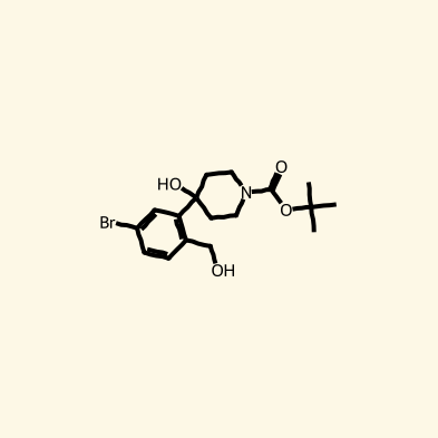 CC(C)(C)OC(=O)N1CCC(O)(c2cc(Br)ccc2CO)CC1